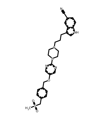 CS(=O)(=O)Cc1ccc(COc2cnc(N3CCN(CCCc4c[nH]c5ccc(C#N)cc45)CC3)nc2)cc1